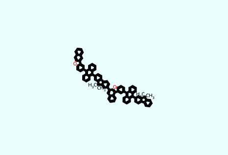 CC1(C)c2ccccc2-c2ccc(-c3c4ccccc4c(-c4ccc5oc6c(-c7ccc8c(c7)C(C)(C)c7cc(-c9c%10ccccc%10c(-c%10ccc%11oc%12cc%13ccccc%13cc%12c%11c%10)c%10ccccc9%10)ccc7-8)cc7ccccc7c6c5c4)c4ccccc34)cc21